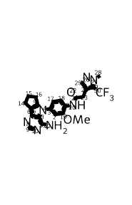 COc1cc(-n2c3c(c4ncnc(N)c42)CCC3)ccc1NC(=O)Cc1cnn(C)c1C(F)(F)F